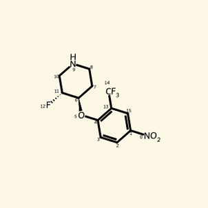 O=[N+]([O-])c1ccc(O[C@@H]2CCNC[C@H]2F)c(C(F)(F)F)c1